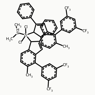 Cc1ccc2c(c1-c1cc(C(F)(F)F)cc(C(F)(F)F)c1)C=C(c1ccccc1)[CH]2[Zr]([Cl])([Cl])([CH]1C(c2ccccc2)=Cc2c1ccc(C)c2-c1cc(C(F)(F)F)cc(C(F)(F)F)c1)[SiH](C)C